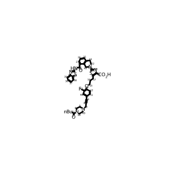 CCCCC(=O)N1CCN(CC#Cc2ccc(OCCCc3sc(N4CCc5cccc(C(=O)Nc6nc7ccccc7s6)c5C4)nc3C(=O)O)c(F)c2)CC1